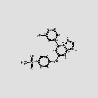 CS(=O)(=O)c1ccc(Nc2cc(-c3cccc(F)c3)n3ncnc3n2)cc1